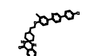 Cc1cc(-c2ccc(-c3ccc(Cl)cc3)cn2)ccc1OCCN1CCC2(CC1)NC(=O)c1ccccc1N2